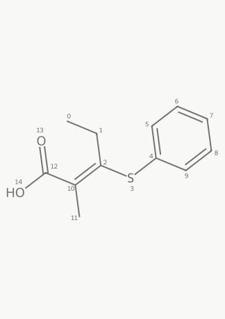 CC/C(Sc1ccccc1)=C(/C)C(=O)O